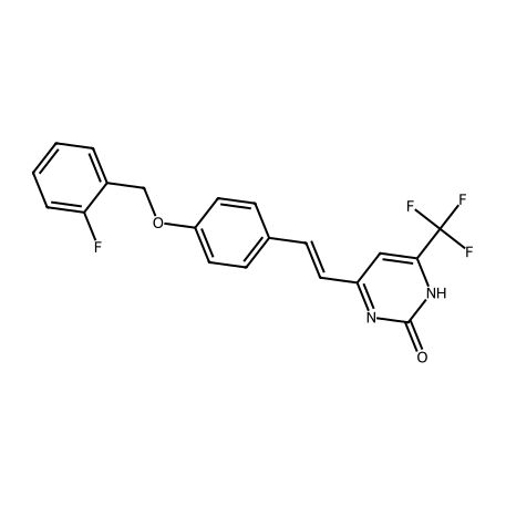 O=c1nc(C=Cc2ccc(OCc3ccccc3F)cc2)cc(C(F)(F)F)[nH]1